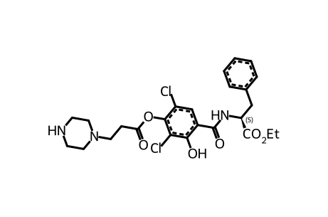 CCOC(=O)[C@H](Cc1ccccc1)NC(=O)c1cc(Cl)c(OC(=O)CCN2CCNCC2)c(Cl)c1O